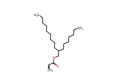 C=CC(=O)OCC(CCCCCCC)CCCCCCCCC